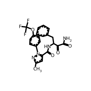 Cc1cc(C(=O)NC(Cc2ccccc2)C(=O)C(N)=O)n(-c2ccc(OC(F)(F)F)cc2)n1